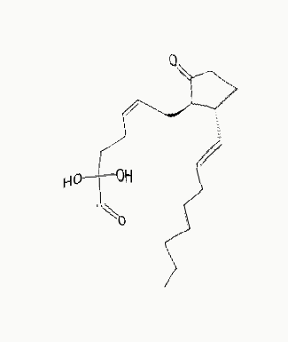 CCCCCC/C=C/[C@H]1CCC(=O)[C@@H]1C/C=C\CCC(O)(O)[C]=O